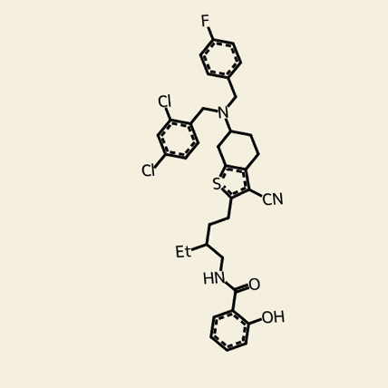 CCC(CCc1sc2c(c1C#N)CCC(N(Cc1ccc(F)cc1)Cc1ccc(Cl)cc1Cl)C2)CNC(=O)c1ccccc1O